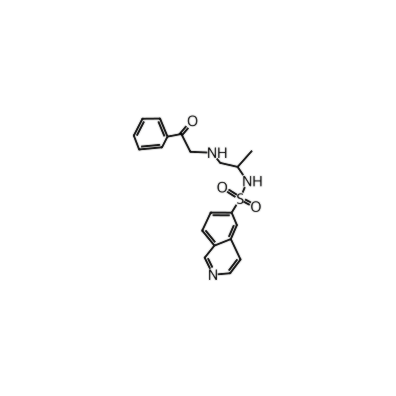 CC(CNCC(=O)c1ccccc1)NS(=O)(=O)c1ccc2cnccc2c1